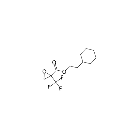 O=C(OCCC1CCCCC1)C1(C(F)(F)F)CO1